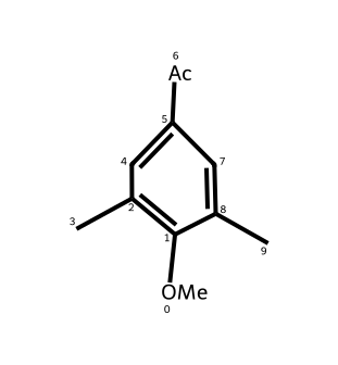 COc1c(C)cc(C(C)=O)cc1C